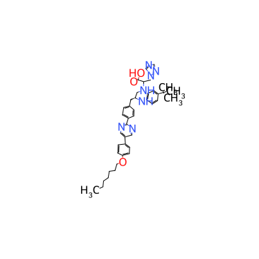 CCCCCCCOc1ccc(-c2cnc(-c3ccc(C[C@@H](CNC(Cn4cncn4)C(=O)O)Nc4ccc(C(C)(C)C)cc4)cc3)nc2)cc1